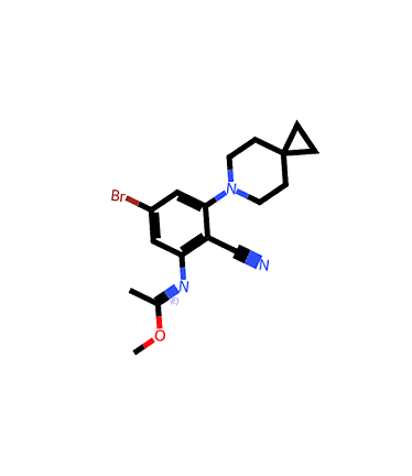 CO/C(C)=N/c1cc(Br)cc(N2CCC3(CC2)CC3)c1C#N